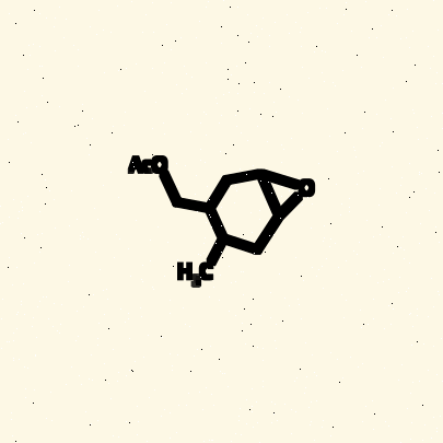 CC(=O)OCC1CC2OC2CC1C